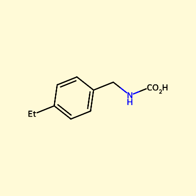 CCc1ccc(CNC(=O)O)cc1